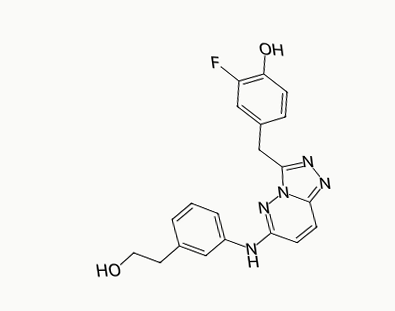 OCCc1cccc(Nc2ccc3nnc(Cc4ccc(O)c(F)c4)n3n2)c1